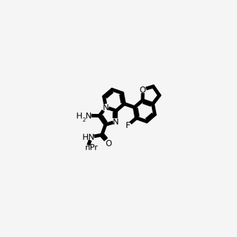 CCCNC(=O)c1nc2c(-c3c(F)ccc4c3OCC4)cccn2c1N